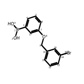 OB(O)c1cccc(OCc2cccc(Br)c2)c1